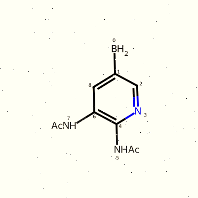 Bc1cnc(NC(C)=O)c(NC(C)=O)c1